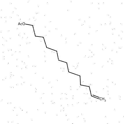 C=CCCCCCCCCCC[CH]OC(C)=O